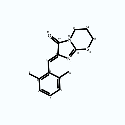 Cc1cccc(C)c1C=C1N=C2SCCCN2C1=O